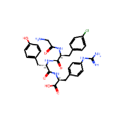 N=C(N)Nc1ccc(C[C@H](NC(=O)[C@H](Cc2ccc(O)cc2)NC(=O)[C@H](Cc2ccc(Cl)cc2)NC(=O)CN)C(=O)O)cc1